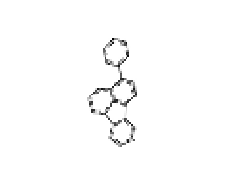 [c]1ccc2c(c1)-c1ccc(-c3ccccc3)c3cccc-2c13